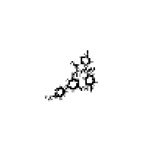 N#Cc1cc(CNC(=O)[C@@H]2C[C@@H](F)CN2S(=O)(=O)c2ccc(F)cc2)cc(-c2ccc(C(F)(F)F)nc2)c1